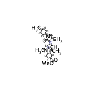 COC(=O)c1ccc2c(c1)C(C)(C)/C(=C\C=C1/C(=O)N(c3ccc(C)cc3)N=C1C)N2C